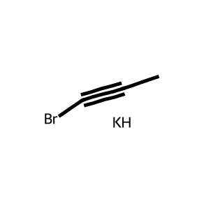 CC#CBr.[KH]